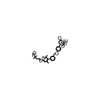 Cc1cc(OCCC(C)(C)N=O)nc(C)c1-c1cccc(COc2ccc(C3CC(=O)NS3(=O)=O)cc2)c1